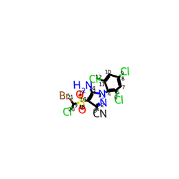 N#Cc1nn(-c2c(Cl)cc(Cl)cc2Cl)c(N)c1S(=O)(=O)C(Cl)Br